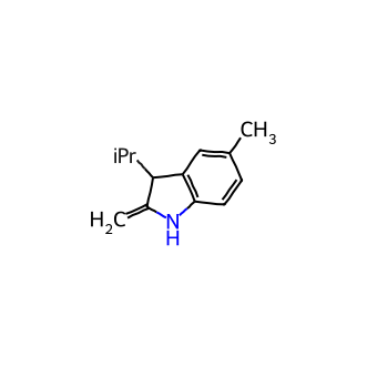 C=C1Nc2ccc(C)cc2C1C(C)C